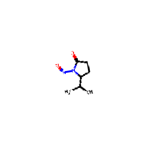 CC(C)C1CCC(=O)N1N=O